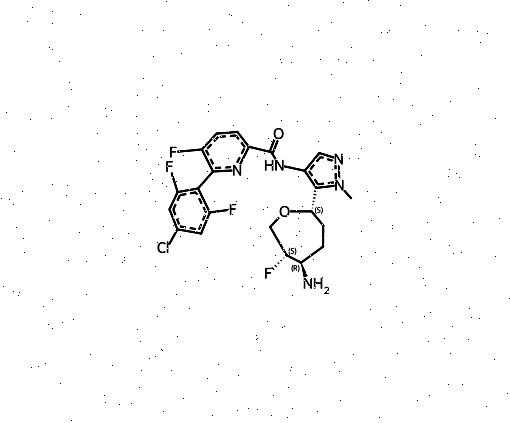 Cn1ncc(NC(=O)c2ccc(F)c(-c3c(F)cc(Cl)cc3F)n2)c1[C@@H]1CC[C@@H](N)[C@H](F)CO1